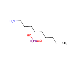 CCCCCCCCCN.O=[PH2]O